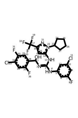 OC(/N=C(/Nc1cc(F)cc(Cl)c1)Nc1cc(C(F)(F)F)nn1C1CCCC1)c1cc(F)c(Cl)cc1F